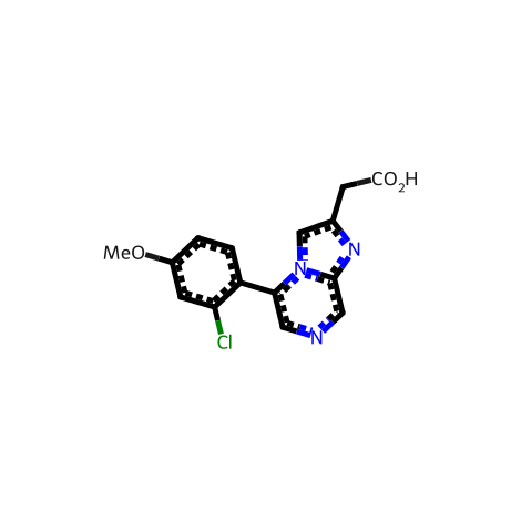 COc1ccc(-c2cncc3nc(CC(=O)O)cn23)c(Cl)c1